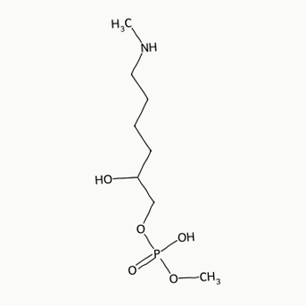 CNCCCCC(O)COP(=O)(O)OC